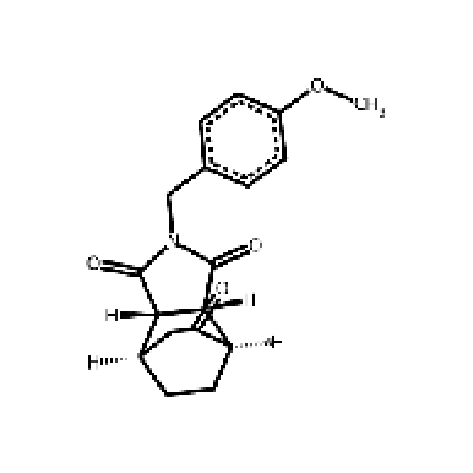 COc1ccc(CN2C(=O)[C@H]3[C@@H]4CC[C@@H](C(=O)C4)[C@H]3C2=O)cc1